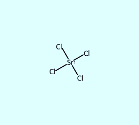 [Cl][Sr]([Cl])([Cl])[Cl]